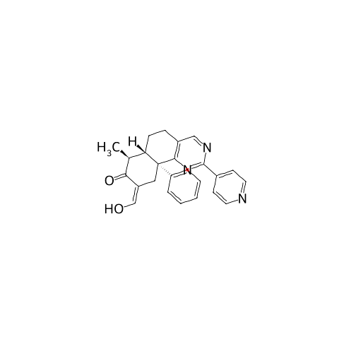 C[C@@H]1C(=O)/C(=C\O)C[C@]2(c3ccccc3)c3nc(-c4ccncc4)ncc3CC[C@@H]12